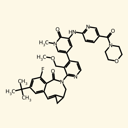 COCc1c(-c2cc(Nc3ccc(C(=O)N4CCOCC4)cn3)c(=O)n(C)c2)ccnc1N1CC2C/C2=C\c2cc(C(C)(C)C)cc(F)c2C1=O